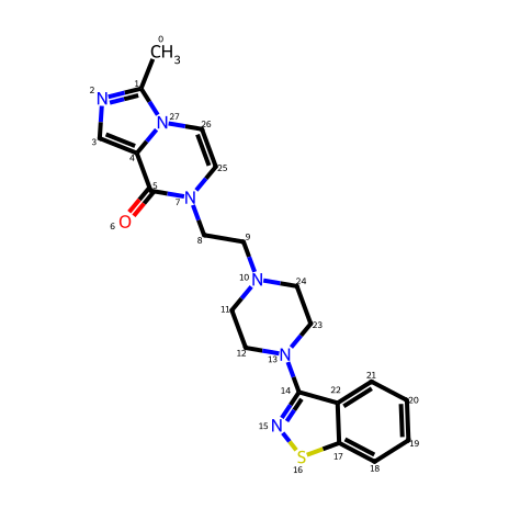 Cc1ncc2c(=O)n(CCN3CCN(c4nsc5ccccc45)CC3)ccn12